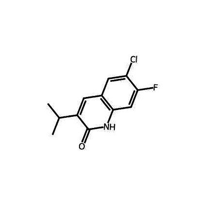 CC(C)c1cc2cc(Cl)c(F)cc2[nH]c1=O